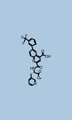 COC(=O)[C@H](Cc1cccnc1)NC(=O)c1cc(C(=O)O)c2cc(-c3cccc(C(F)(F)F)c3)ccc2n1